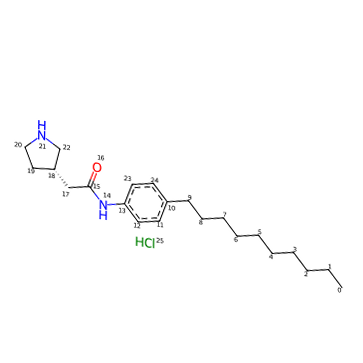 CCCCCCCCCCc1ccc(NC(=O)C[C@@H]2CCNC2)cc1.Cl